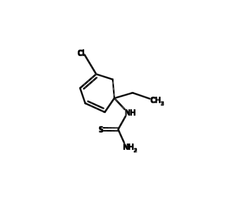 CCC1(NC(N)=S)C=CC=C(Cl)C1